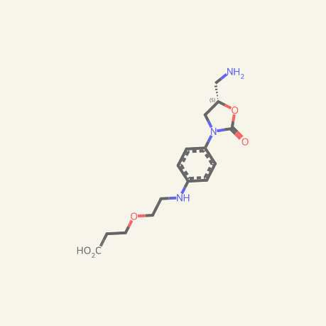 NC[C@H]1CN(c2ccc(NCCOCCC(=O)O)cc2)C(=O)O1